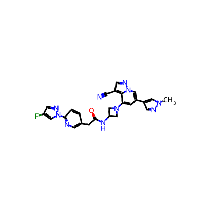 Cn1cc(-c2cc(N3CC(NC(=O)Cc4ccc(-n5cc(F)cn5)nc4)C3)c3c(C#N)cnn3c2)cn1